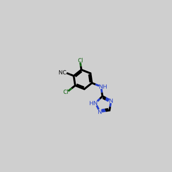 N#Cc1c(Cl)cc(Nc2ncn[nH]2)cc1Cl